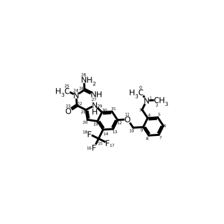 CN(C)Cc1ccccc1COc1cc(C(F)(F)F)c2cc(C(=O)N(C)C(=N)N)[nH]c2c1